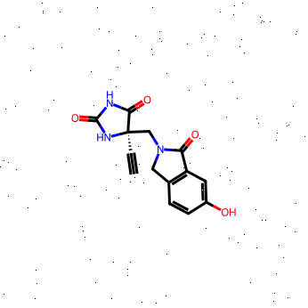 C#C[C@]1(CN2Cc3ccc(O)cc3C2=O)NC(=O)NC1=O